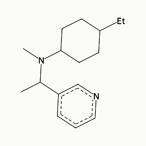 CCC1CCC(N(C)C(C)c2cccnc2)CC1